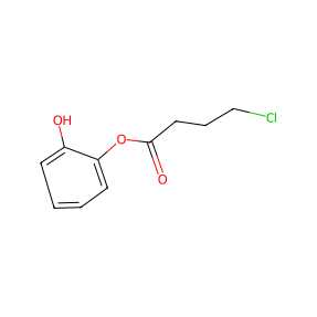 O=C(CCCCl)Oc1ccccc1O